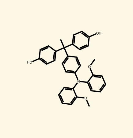 COc1ccccc1N(c1ccc(C(C)(c2ccc(O)cc2)c2ccc(O)cc2)cc1)c1ccccc1OC